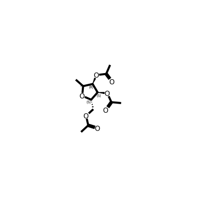 C[C]1O[C@@H](COC(C)=O)[C@H](OC(C)=O)[C@@H]1OC(C)=O